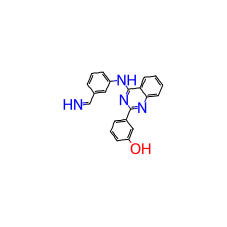 N=Cc1cccc(Nc2nc(-c3cccc(O)c3)nc3ccccc23)c1